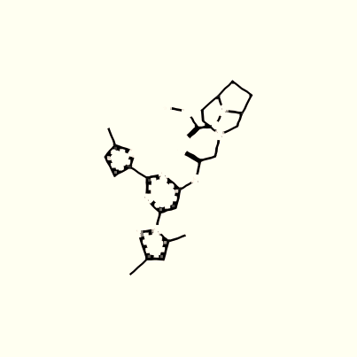 Cc1cc(C)n(-c2cc(NC(=O)CN3CCC4CCC(C3)N4OC(=O)OC(C)(C)C)nc(-c3ccc(C)o3)n2)n1